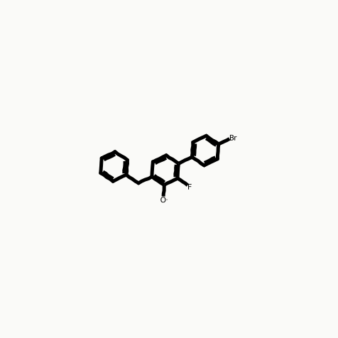 [O]c1c(Cc2ccccc2)ccc(-c2ccc(Br)cc2)c1F